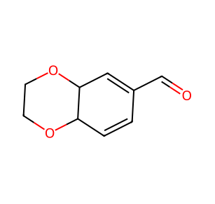 O=CC1=CC2OCCOC2C=C1